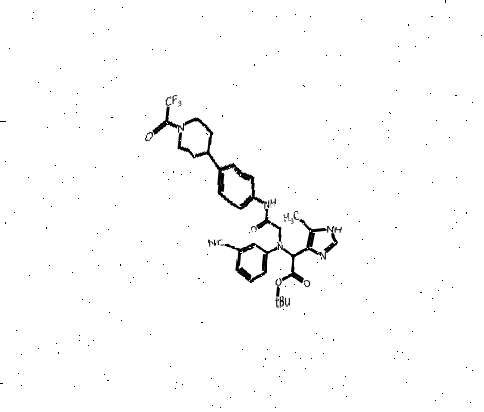 Cc1[nH]cnc1C(C(=O)OC(C)(C)C)N(CC(=O)Nc1ccc(C2CCN(C(=O)C(F)(F)F)CC2)cc1)c1cccc(C#N)c1